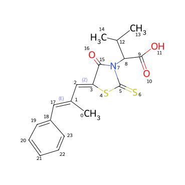 CC(/C=C1\SC(=S)N(C(C(=O)O)C(C)C)C1=O)=C\c1ccccc1